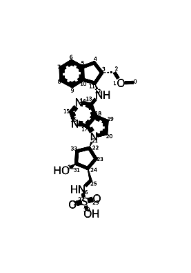 COC[C@H]1Cc2ccccc2[C@H]1Nc1ncnc2c1ccn2[C@@H]1C[C@@H](CNS(=O)(=O)O)[C@@H](O)C1